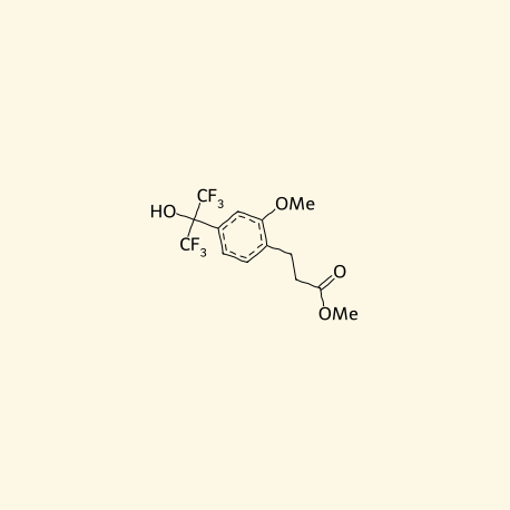 COC(=O)CCc1ccc(C(O)(C(F)(F)F)C(F)(F)F)cc1OC